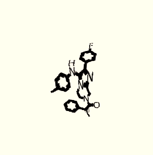 Cc1ccc(Nc2c(-c3ccc(F)cc3)nc3n2CCN(C(=O)[C@@H](C)c2ccccc2)C3)cc1